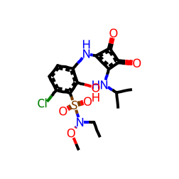 CCN(OC)S(=O)(=O)c1c(Cl)ccc(Nc2c(NC(C)C)c(=O)c2=O)c1O